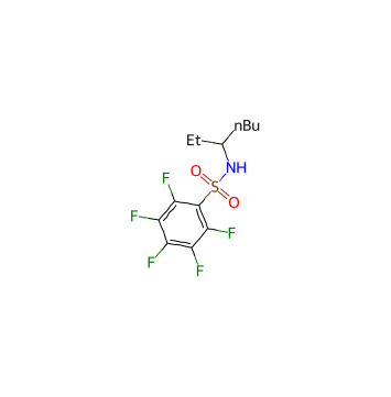 CCCCC(CC)NS(=O)(=O)c1c(F)c(F)c(F)c(F)c1F